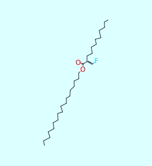 CCCCCCCCCCCCCCCCCCOC(=O)C(=CF)CCCCCCCCCC